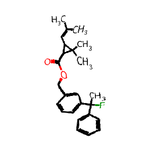 CC(C)=CC1C(C(=O)OCc2cccc(C(C)(F)c3ccccc3)c2)C1(C)C